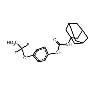 O=C(Nc1ccc(OC(F)(F)C(=O)O)cc1)NC12CC3CC(CC(C3)C1)C2